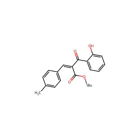 Cc1ccc(/C=C(\C(=O)OC(C)(C)C)C(=O)c2ccccc2O)cc1